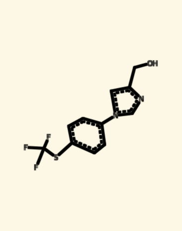 OCc1cn(-c2ccc(SC(F)(F)F)cc2)cn1